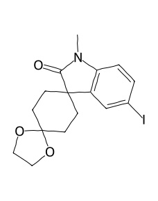 CN1C(=O)C2(CCC3(CC2)OCCO3)c2cc(I)ccc21